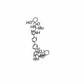 CC(C)(C)C(NC(=O)C1(C)CCCCC1O)c1ncc(-c2ccc(-c3ccc(-c4cnc(C(NC(=O)C5(C)CCCCC5O)C(C)(C)C)[nH]4)cc3)cc2)[nH]1